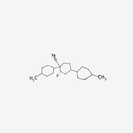 CC1CCC(C2CCC(C#N)(C3CCC(C)CC3)C(F)C2)CC1